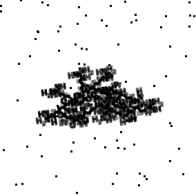 CC(C)[C@H](NC(=O)[C@H](CCCNC(=N)N)NC(=O)[C@H](CCCNC(=N)N)NC(=O)[C@@H](NC(=O)[C@@H](NC(=O)[C@@H](N)CCCNC(=N)N)C(C)C)C(C)C)C(=O)N[C@@H](CCCNC(=N)N)C(=O)N[C@@H](CCCNC(=N)N)C(=O)N[C@H](C(=O)N[C@H](C(=O)N[C@@H](CCCNC(=N)N)C(=O)N[C@@H](CCCNC(=N)N)C(=O)N[C@H](C(=O)N[C@H](C(=O)N[C@@H](CCCNC(=N)N)C(=O)O)C(C)C)C(C)C)C(C)C)C(C)C